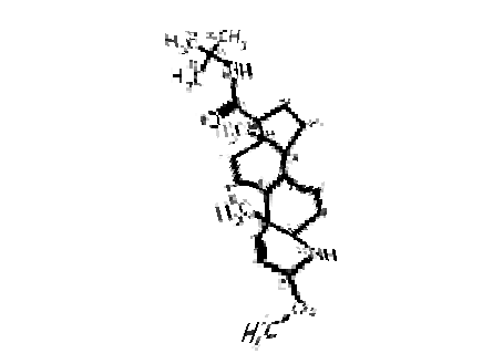 COC1C=CC2(C)C(CCC3C2CCC2(C)C(C(=O)NC(C)(C)C)CCC32)N1